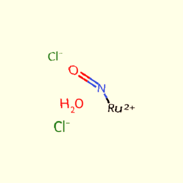 O.O=[N][Ru+2].[Cl-].[Cl-]